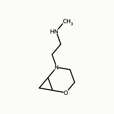 CNCCN1CCOC2CC21